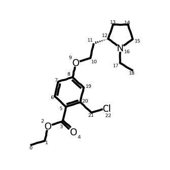 CCOC(=O)c1ccc(OCC[C@@H]2CCCN2CC)cc1CCl